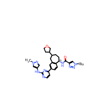 Cn1cc(Nc2nccc(-c3ccc4c(c3)CC(C3CCOC3)CC[C@H]4NC(=O)c3cn(C(C)(C)C)nn3)n2)cn1